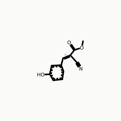 COC(=O)/C(C#N)=C/c1cccc(O)c1